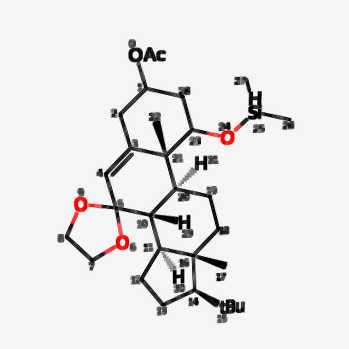 CC(=O)OC1CC2=CC3(OCCO3)[C@H]3[C@@H]4CC[C@H](C(C)(C)C)[C@@]4(C)CC[C@@H]3[C@@]2(C)C(O[SiH](C)C)C1